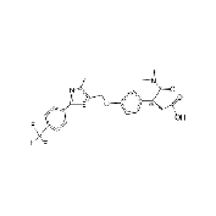 Cc1nc(-c2ccc(C(F)(F)F)cc2)sc1COc1ccc([C@H](CC(=O)O)C(=O)N(C)C)cc1